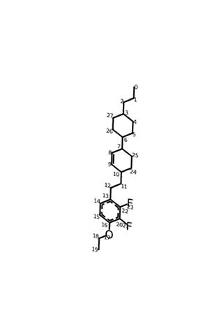 CCCC1CCC(C2C=CC(CCc3ccc(OCC)c(F)c3F)CC2)CC1